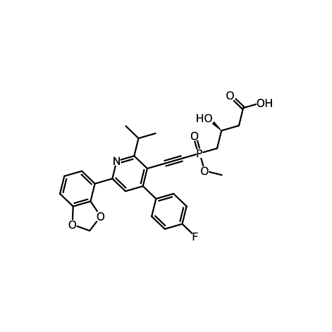 COP(=O)(C#Cc1c(-c2ccc(F)cc2)cc(-c2cccc3c2OCO3)nc1C(C)C)C[C@@H](O)CC(=O)O